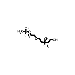 CC(C)(CCO)CCOCCO[Si](C)(C)C(C)(C)C